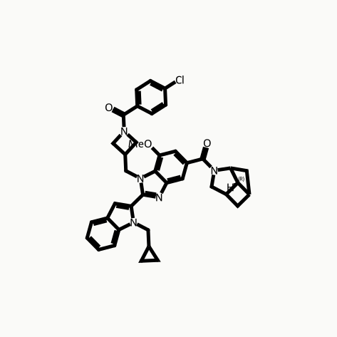 COc1cc(C(=O)N2CC3CC4CC2[C@H]43)cc2nc(-c3cc4ccccc4n3CC3CC3)n(CC3CN(C(=O)c4ccc(Cl)cc4)C3)c12